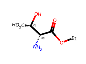 CCOC(=O)[C@H](N)[C@H](O)C(=O)O